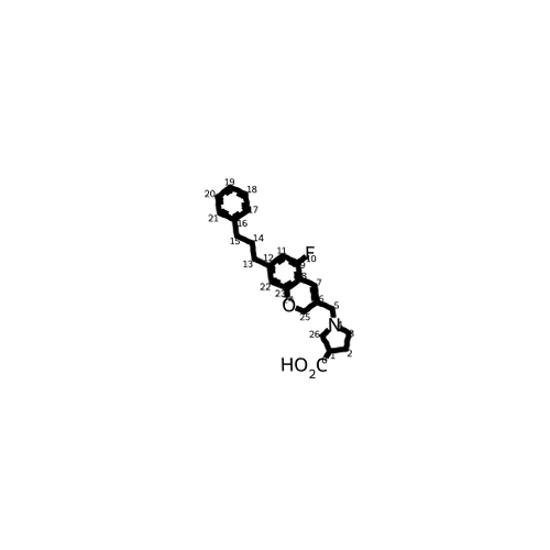 O=C(O)C1CCN(CC2=Cc3c(F)cc(CCCc4ccccc4)cc3OC2)C1